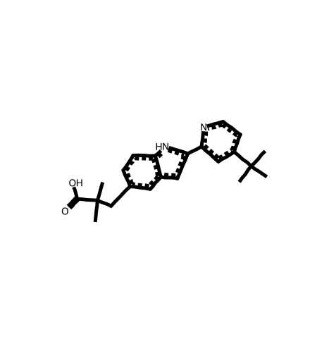 CC(C)(Cc1ccc2[nH]c(-c3cc(C(C)(C)C)ccn3)cc2c1)C(=O)O